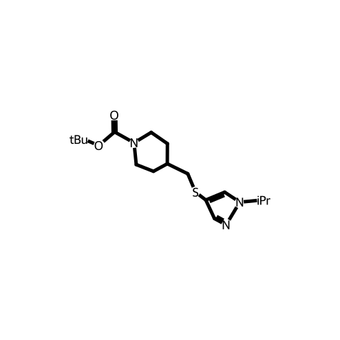 CC(C)n1cc(SCC2CCN(C(=O)OC(C)(C)C)CC2)cn1